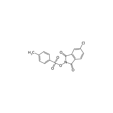 Cc1ccc(S(=O)(=O)ON2C(=O)c3ccc(Cl)cc3C2=O)cc1